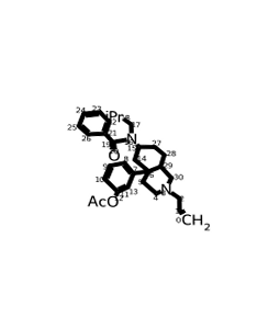 C=CCN1CCC2(c3cccc(OC(C)=O)c3)CC(N(CC(C)C)C(=O)c3ccccc3)CCC2C1